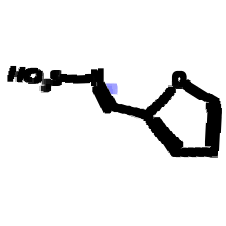 O=S(=O)(O)/N=C/c1ccco1